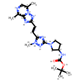 Cc1ncc(C)n2nc(/C=C/c3nc(N4CCC(NC(=O)OC(C)(C)C)C4)nn3C)nc12